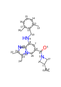 CC(=O)C1CN(C(=O)c2cc(NCc3c(C)cccc3C)c3nc(C)c(C)n3c2)C1